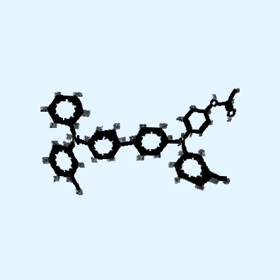 CC(=O)OC1C=CC(N(c2ccc(-c3ccc(N(c4ccccc4)c4cccc(C)c4)cc3)cc2)c2cccc(C)c2)=CC1